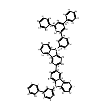 c1ccc(-c2cccc(-n3c4ccccc4c4cc(-c5ccc6c(c5)c5ccccc5n6-c5cccc(-c6cc(-c7ccccc7)cc(-c7ccccc7)n6)c5)ccc43)c2)cc1